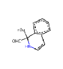 CCCCC1(C=O)NC=Cc2ccccc21